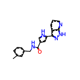 Cc1cccc(CNC(=O)c2c[nH]c(-c3n[nH]c4ncccc34)c2)c1